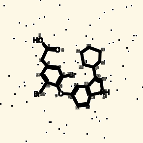 O=C(O)Cc1cc(Br)c(Oc2ccc3[nH]cc(C4CCCCC4)c3c2)c(Br)c1